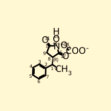 CC(c1ccccc1)[C@H]1CC(=O)[N+](O)(OC(=O)[O-])C1=O